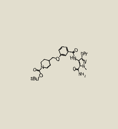 CCCc1nn(C)c(C(N)=O)c1NC(=O)c1cccc(OCC2CCN(C(=O)OC(C)(C)C)CC2)c1